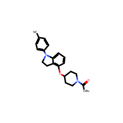 CC(C)COC(=O)N1CCC(Oc2cccc3c2CCN3c2ccc(C#N)cc2)CC1